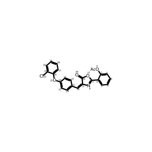 CC(=O)Oc1ccccc1C1=NC(=Cc2ccc(Oc3ccccc3Cl)cc2)C(=O)O1